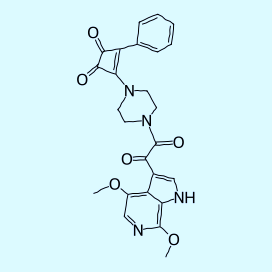 COc1ncc(OC)c2c(C(=O)C(=O)N3CCN(c4c(-c5ccccc5)c(=O)c4=O)CC3)c[nH]c12